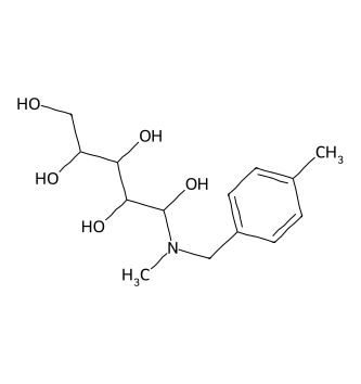 Cc1ccc(CN(C)C(O)C(O)C(O)C(O)CO)cc1